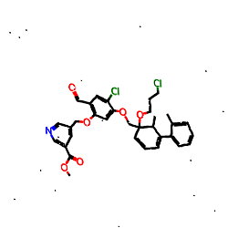 COC(=O)c1cncc(COc2cc(OCC3(OCCCCl)C=CC=C(c4ccccc4C)C3C)c(Cl)cc2C=O)c1